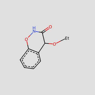 [CH2]COC1C(=O)NOc2ccccc21